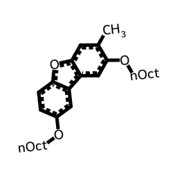 CCCCCCCCOc1ccc2oc3cc(C)c(OCCCCCCCC)cc3c2c1